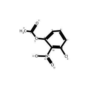 CC(=O)Oc1cccc(Cl)c1[N+](=O)[O-]